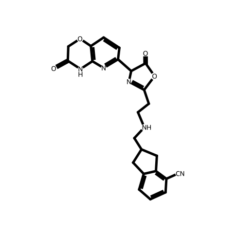 N#Cc1cccc2c1CC(CNCCC1=NC(c3ccc4c(n3)NC(=O)CO4)C(=O)O1)C2